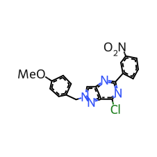 COc1ccc(Cn2cc3nc(-c4cccc([N+](=O)[O-])c4)nc(Cl)c3n2)cc1